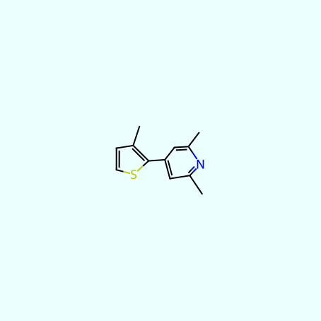 Cc1cc(-c2sccc2C)cc(C)n1